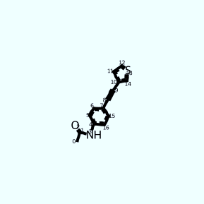 CC(=O)Nc1ccc(C#Cc2ccsc2)cc1